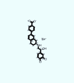 O=C([O-])c1ccc(-c2ccc3c(c2)C[C@@H](NC[C@H](O)c2ccc(Cl)c(Cl)c2)CC3)cc1.[Na+]